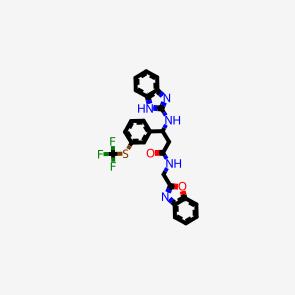 O=C(CC(Nc1nc2ccccc2[nH]1)c1cccc(SC(F)(F)F)c1)NCc1nc2ccccc2o1